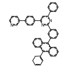 C1=CCCC(c2c3ccccc3c(-c3cccc(-c4nc(-c5ccccc5)cc(-c5ccc(-c6cccnc6)cc5)n4)c3)c3ccccc23)=C1